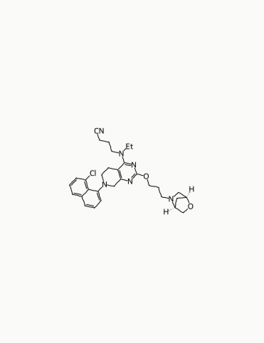 CCN(CCCC#N)c1nc(OCCCN2C[C@@H]3C[C@H]2CO3)nc2c1CCN(c1cccc3cccc(Cl)c13)C2